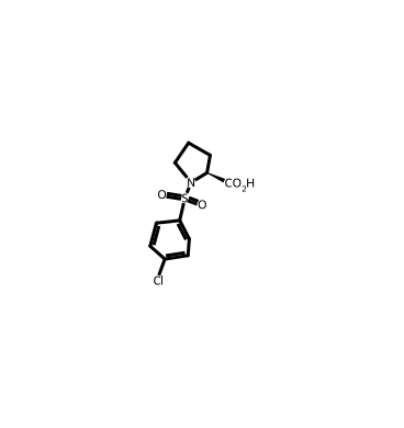 O=C(O)[C@@H]1CCCN1S(=O)(=O)c1ccc(Cl)cc1